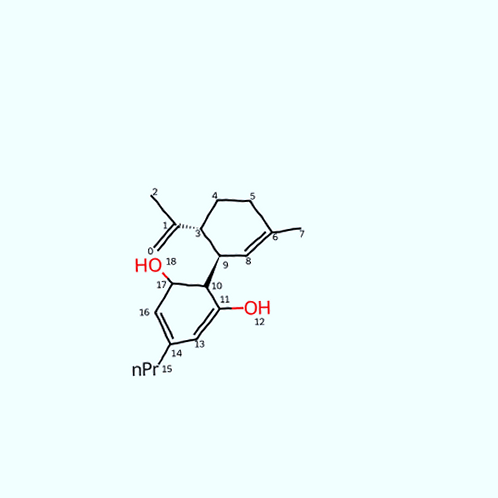 C=C(C)[C@@H]1CCC(C)=C[C@H]1C1C(O)=CC(CCC)=CC1O